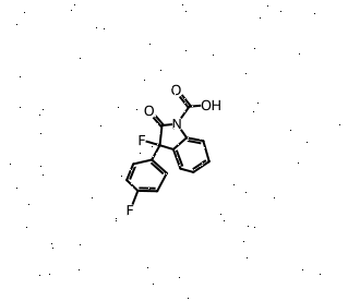 O=C(O)N1C(=O)C(F)(c2ccc(F)cc2)c2ccccc21